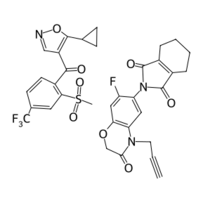 C#CCN1C(=O)COc2cc(F)c(N3C(=O)C4=C(CCCC4)C3=O)cc21.CS(=O)(=O)c1cc(C(F)(F)F)ccc1C(=O)c1cnoc1C1CC1